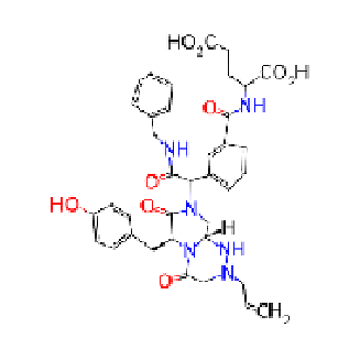 C=CCN1CC(=O)N2[C@H](CN(C(C(=O)NCc3ccccc3)c3cccc(C(=O)NC(CCC(=O)O)C(=O)O)c3)C(=O)[C@@H]2Cc2ccc(O)cc2)N1